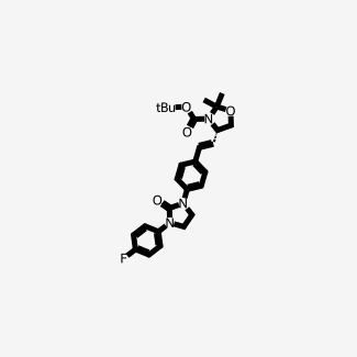 CC(C)(C)OC(=O)N1[C@@H](C=Cc2ccc(N3CCN(c4ccc(F)cc4)C3=O)cc2)COC1(C)C